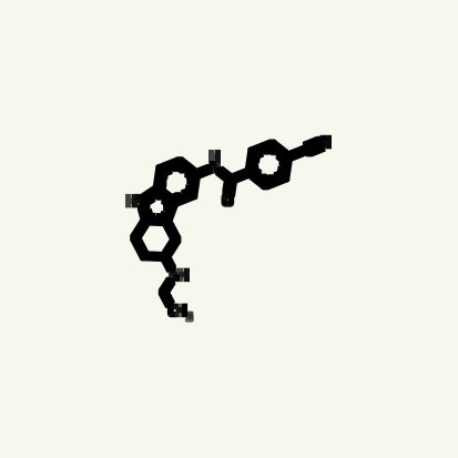 CCNC1CCc2[nH]c3ccc(NC(=O)c4ccc(C#N)cc4)cc3c2C1